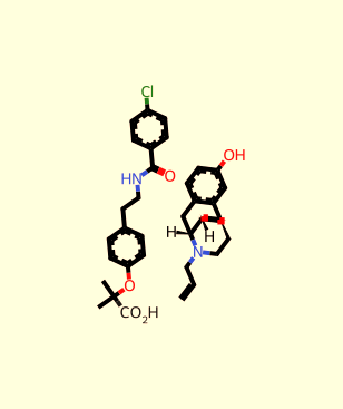 C=CCN1CC[C@]23CCCC[C@H]2[C@H]1Cc1ccc(O)cc13.CC(C)(Oc1ccc(CCNC(=O)c2ccc(Cl)cc2)cc1)C(=O)O